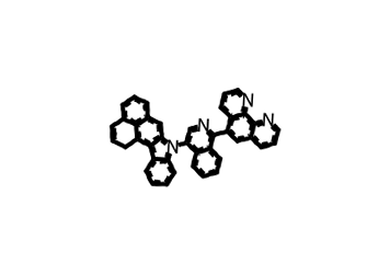 C1=Cc2cccc3cc4c(c(c23)C1)c1ccccc1n4-c1cnc(-c2cc3cccnc3c3ncccc23)c2ccccc12